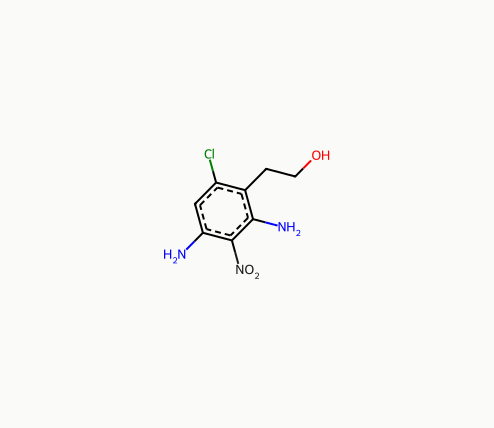 Nc1cc(Cl)c(CCO)c(N)c1[N+](=O)[O-]